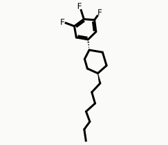 CCCCCCC[C@H]1CC[C@H](c2cc(F)c(F)c(F)c2)CC1